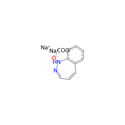 C1=Cc2ccccc2NN=C1.O=C([O-])[O-].[Na+].[Na+]